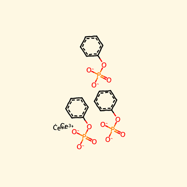 O=P([O-])([O-])Oc1ccccc1.O=P([O-])([O-])Oc1ccccc1.O=P([O-])([O-])Oc1ccccc1.[Ce+3].[Ce+3]